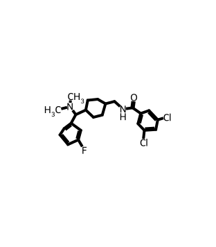 CN(C)C(c1cccc(F)c1)C1CCC(CNC(=O)c2cc(Cl)cc(Cl)c2)CC1